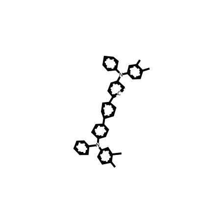 Cc1ccc(N(c2ccccc2)c2ccc(-c3ccc(-c4ccc(N(c5ccccc5)c5ccc(C)c(C)c5)cc4)cc3)cc2)cc1C